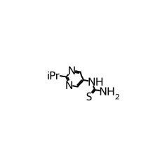 CC(C)c1ncc(NC(N)=S)cn1